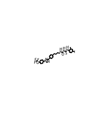 Cc1cc(I)ccc1NC(=S)NC(=O)NCCCCc1ccc(-c2ncn(-c3ccc(OC(F)(F)F)cc3)n2)cc1